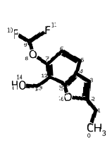 CCc1cc2ccc(OC(F)F)c(CO)c2o1